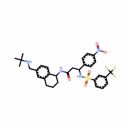 CC(C)(C)NCc1ccc2c(c1)CCCC2NC(=O)CC(NS(=O)(=O)c1cccc(C(F)(F)F)c1)c1ccc([N+](=O)[O-])cc1